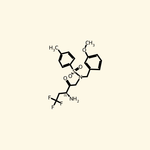 COc1cccc(CN(CC(=O)[C@@H](N)CC(F)(F)F)S(=O)(=O)c2ccc(C)cc2)c1